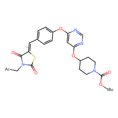 CC(=O)CN1C(=O)S/C(=C\c2ccc(Oc3cc(OC4CCN(C(=O)OC(C)(C)C)CC4)ncn3)cc2)C1=O